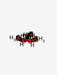 CS(=O)(=O)c1ccc(NNC(=O)NCc2nc(CNC(=O)NNc3ccccc3)nc(CNC(=O)NNc3ccc(S(C)(=O)=O)cc3)n2)cc1